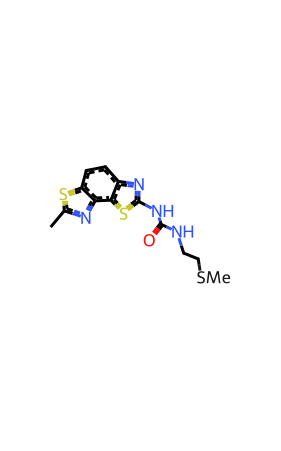 CSCCNC(=O)Nc1nc2ccc3sc(C)nc3c2s1